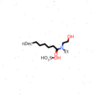 CCCCCCCCCCCCCCCC(=O)N(CC)CCO.O=S(=O)(O)O